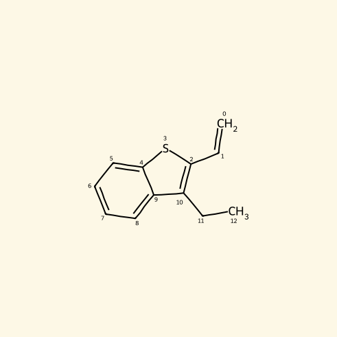 C=Cc1sc2ccccc2c1CC